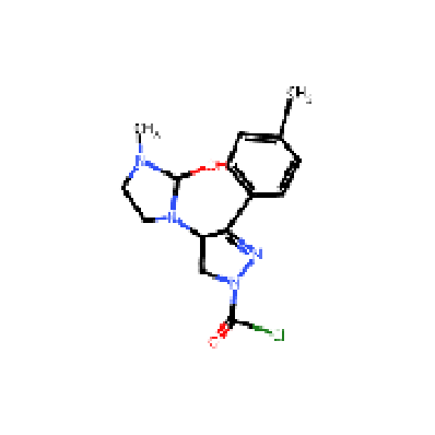 Cc1ccc(C2=NN(C(=O)Cl)CC2N2CCN(C)C2O)cc1